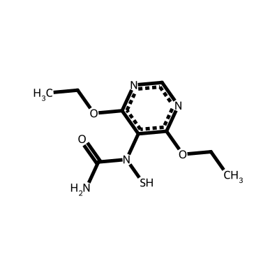 CCOc1ncnc(OCC)c1N(S)C(N)=O